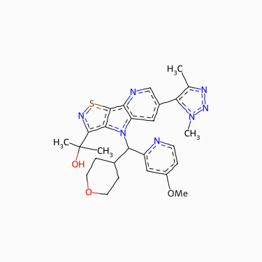 COc1ccnc(C(C2CCOCC2)n2c3cc(-c4c(C)nnn4C)cnc3c3snc(C(C)(C)O)c32)c1